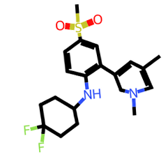 CC1=CN(C)CC(c2cc(S(C)(=O)=O)ccc2NC2CCC(F)(F)CC2)=C1